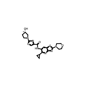 O=C(Nc1cc2sc(N3CCOCC3)nc2nc1C1CC1)c1coc(N2CC[C@H](O)C2)n1